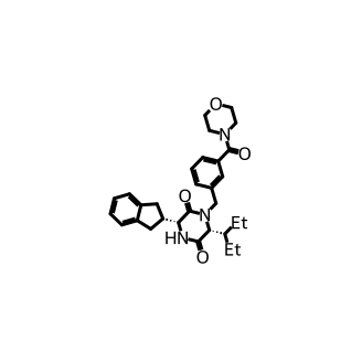 CCC(CC)[C@@H]1C(=O)N[C@H](C2Cc3ccccc3C2)C(=O)N1Cc1cccc(C(=O)N2CCOCC2)c1